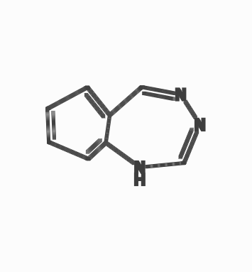 C1=NN=Cc2ccccc2N1